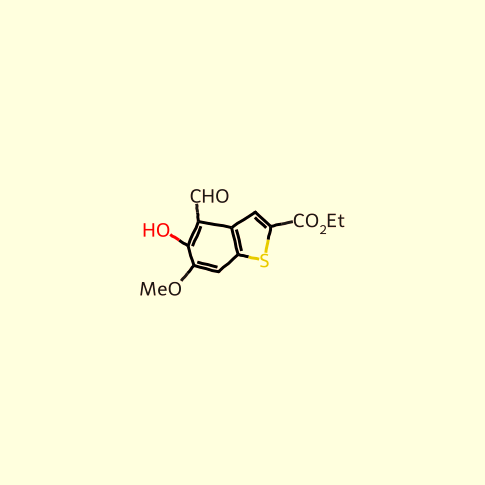 CCOC(=O)c1cc2c(C=O)c(O)c(OC)cc2s1